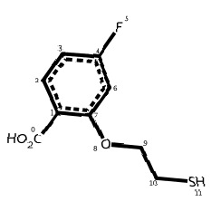 O=C(O)c1ccc(F)cc1OCCS